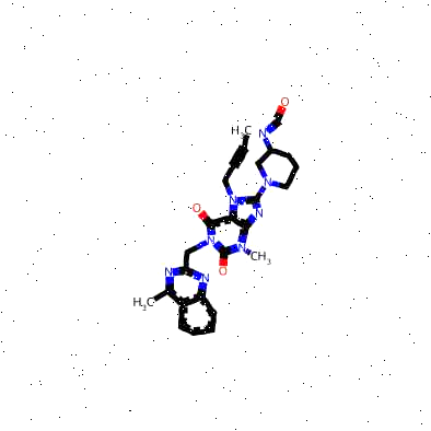 CC#CCn1c(N2CCCC(N=C=O)C2)nc2c1c(=O)n(Cc1nc(C)c3ccccc3n1)c(=O)n2C